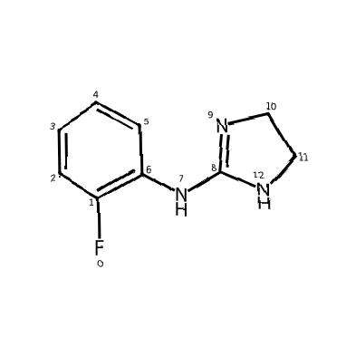 Fc1[c]cccc1NC1=NCCN1